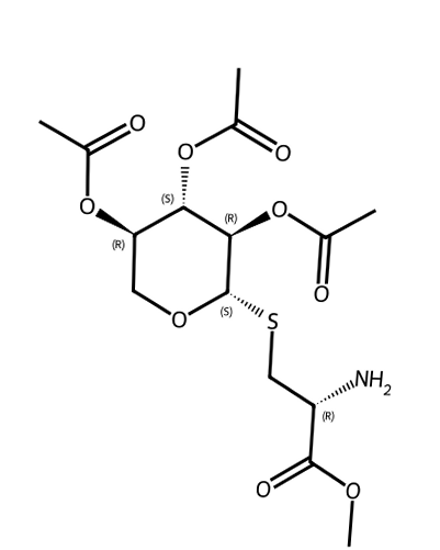 COC(=O)[C@@H](N)CS[C@@H]1OC[C@@H](OC(C)=O)[C@H](OC(C)=O)[C@H]1OC(C)=O